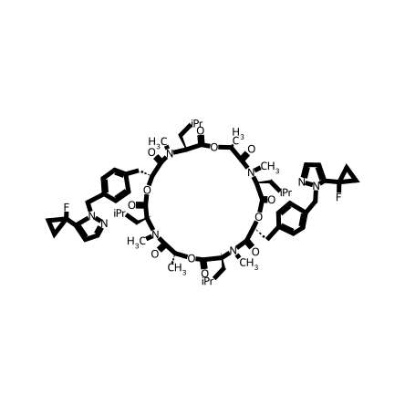 CC(C)C[C@H]1C(=O)O[C@H](Cc2ccc(Cn3nccc3C3(F)CC3)cc2)C(=O)N(C)[C@@H](CC(C)C)C(=O)O[C@H](C)C(=O)N(C)[C@@H](CC(C)C)C(=O)O[C@H](Cc2ccc(Cn3nccc3C3(F)CC3)cc2)C(=O)N(C)[C@@H](CC(C)C)C(=O)O[C@H](C)C(=O)N1C